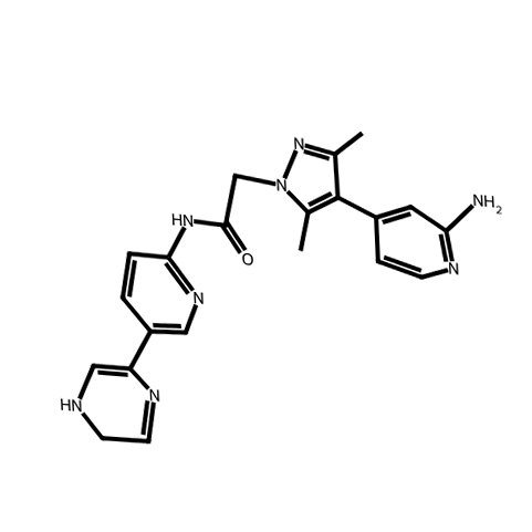 Cc1nn(CC(=O)Nc2ccc(C3=CNCC=N3)cn2)c(C)c1-c1ccnc(N)c1